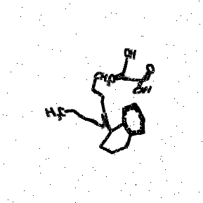 CCCN(CCC)C1CCCc2ccccc21.O=C(O)C(=O)O